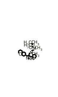 CN(CCN(C)C(=O)OC(C)(C)C)Cc1c(C2CCC3(CCCCO3)CC2)n[nH]c1C1CCCCO1